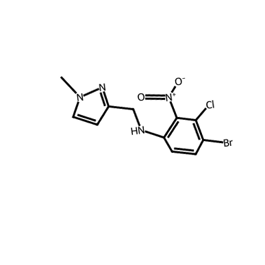 Cn1ccc(CNc2ccc(Br)c(Cl)c2[N+](=O)[O-])n1